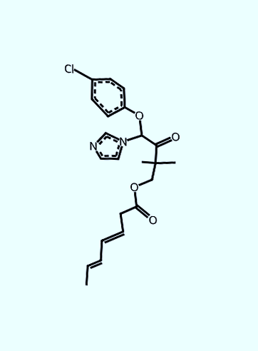 C/C=C/C=C/CC(=O)OCC(C)(C)C(=O)C(Oc1ccc(Cl)cc1)n1ccnc1